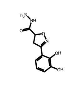 NNC(=O)C1CC(c2cccc(O)c2O)=NO1